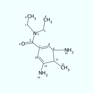 CCN(CC)C(=O)C1=CC(N)C(C)C(N)=C1